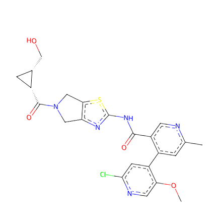 COc1cnc(Cl)cc1-c1cc(C)ncc1C(=O)Nc1nc2c(s1)CN(C(=O)[C@@H]1C[C@@H]1CO)C2